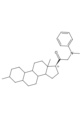 CC1CCC2C(CCC3C2CCC2(C)C3CC[C@@H]2C(=O)CN(C)c2ccccc2)C1